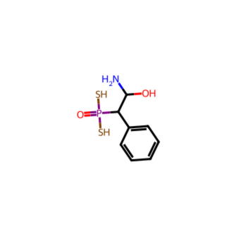 NC(O)C(c1ccccc1)P(=O)(S)S